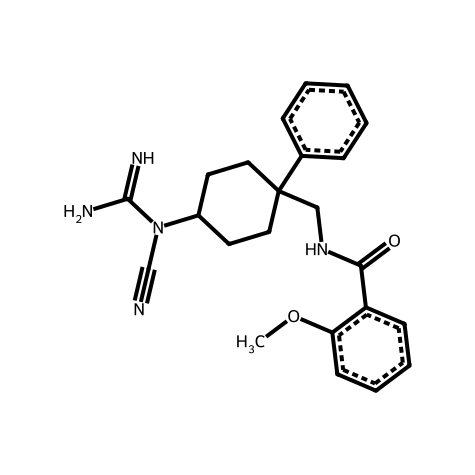 COc1ccccc1C(=O)NCC1(c2ccccc2)CCC(N(C#N)C(=N)N)CC1